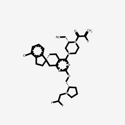 C=C(F)C(=O)N1CCN(c2nc(OC[C@@H]3CCCN3CC(F)F)nc3c2CC[C@@]2(CCc4c(Cl)cccc42)C3)C[C@@H]1CC#N